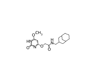 COc1cc(OCC(=O)NCC2CC3CCCC(C3)C2)nc(=O)[nH]1